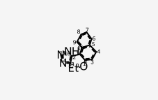 CCOc1ccc2ccccc2c1-c1[c]nn[nH]1